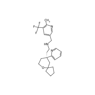 Cc1ncc(CNCC[C@@]2(c3ccccn3)CCOC3(CCCC3)C2)cc1C(F)(F)F